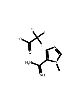 Cn1cncc1C(=N)N.O=C(O)C(F)(F)F